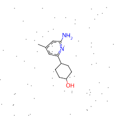 Cc1cc(N)nc(C2CCC(O)CC2)c1